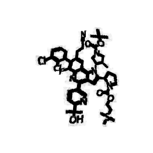 C[C@@H]1CN(C(=O)OC(C)(C)C)C[C@H]1n1c([C@H]2CCCN2C(=O)OCCS(C)(C)C)cc2c(-c3ccc(C(C)(C)O)nc3)nc3c(F)c(-c4cccc(Cl)c4Cl)c(CCC#N)cc3c21